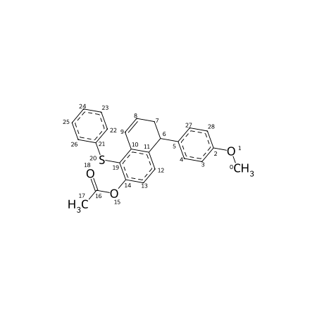 COc1ccc(C2CC=Cc3c2ccc(OC(C)=O)c3Sc2ccccc2)cc1